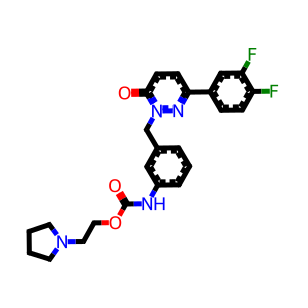 O=C(Nc1cccc(Cn2nc(-c3ccc(F)c(F)c3)ccc2=O)c1)OCCN1CCCC1